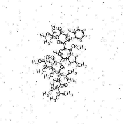 C=C1C[C@@H]([C@H](OC)[C@@H](C)C(=O)N[C@@H](Cc2ccccc2)C(=O)OC(C)(C)C)N(C(=O)C[C@@H](OC)C([C@@H](C)CC)N(C)C(=O)[C@@H](NC(=O)[C@@H](NC)C(C)C)C(C)C)C1